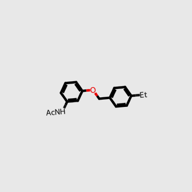 CCc1ccc(COc2cccc(NC(C)=O)c2)cc1